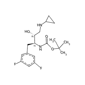 CC(C)(C)OC(=O)N[C@@H](Cc1cc(F)cc(F)c1)[C@H](O)CNC1CC1